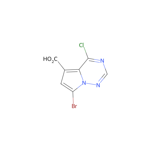 O=C(O)c1cc(Br)n2ncnc(Cl)c12